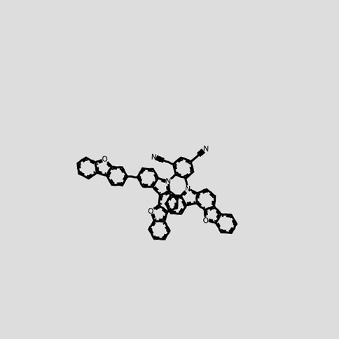 N#Cc1cc(C#N)c(-n2c3ccc(-c4ccc5c(c4)oc4ccccc45)cc3c3c4oc5ccccc5c4ccc32)c(-n2c3ccccc3c3c4oc5ccccc5c4ccc32)c1